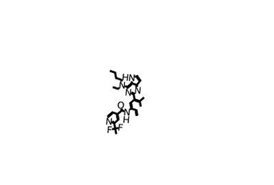 C=C/C(=C\C(=C(C)C)c1nc(N(CC)CCCC)c2[nH]ccc2n1)NC(=O)c1ccnc(C(C)(F)F)c1